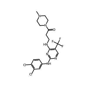 CN1CCN(C(=O)CCNc2nc(Nc3ccc(Cl)c(Cl)c3)ncc2C(F)(F)F)CC1